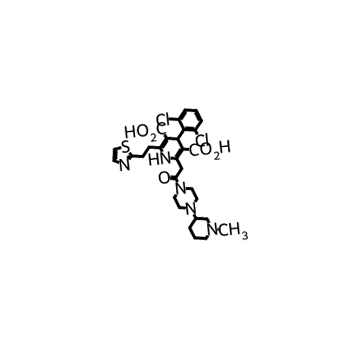 CN1CCCC(N2CCN(C(=O)CC3=C(C(=O)O)C(c4c(Cl)cccc4Cl)C(C(=O)O)=C(CCc4nccs4)N3)CC2)C1